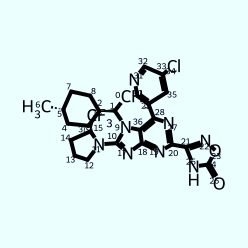 CC([C@H]1CC[C@H](C)CC1)n1c(N2CCC[C@H]2C(F)(F)F)nc2nc(-c3noc(=O)[nH]3)nc(-c3cncc(Cl)c3)c21